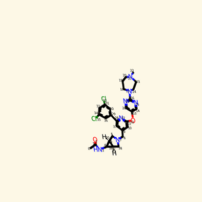 CC(=O)NC1[C@H]2CN(Cc3cc(Oc4cnc(N5CCCN(C)CC5)nc4)nc(-c4cc(Cl)cc(Cl)c4)c3)C[C@@H]12